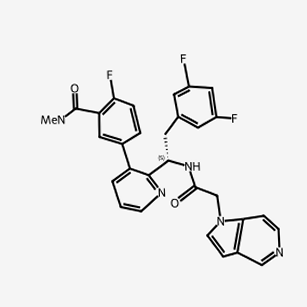 CNC(=O)c1cc(-c2cccnc2[C@H](Cc2cc(F)cc(F)c2)NC(=O)Cn2ccc3cnccc32)ccc1F